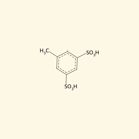 Cc1[c]c(S(=O)(=O)O)cc(S(=O)(=O)O)c1